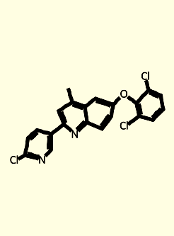 Cc1cc(-c2ccc(Cl)nc2)nc2ccc(Oc3c(Cl)cccc3Cl)cc12